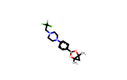 CC12CC1(C)OB(c1ccc(N3CCN(CC(F)(F)F)CC3)cc1)O2